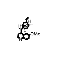 C=C[C@@H]1C[C@H]2CC[C@@H]1C[C@H]2[C@H](C)c1ccnc2ccc(OC)cc12